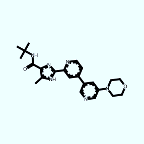 Cc1[nH]c(-c2cc(-c3cncc(N4CCOCC4)c3)ccn2)nc1C(=O)NC(C)(C)C